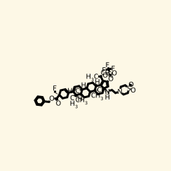 CC(C)C1=C2[C@H]3CC[C@@H]4[C@@]5(C)CC=C(C6=CC[C@](CF)(C(=O)OCc7ccccc7)CC6)C(C)(C)[C@@H]5CC[C@@]4(C)[C@]3(C)CC[C@@]2(NCCN2CCS(=O)(=O)CC2)C=C1OS(=O)(=O)C(F)(F)F